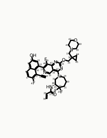 C#Cc1c(F)ccc2cc(O)cc(-c3ncc4c(N5CCCC(F)(F)[C@H](NC(=O)C=C)C5)nc(OCC5(CN6CCOCC6)CC5)nc4c3F)c12